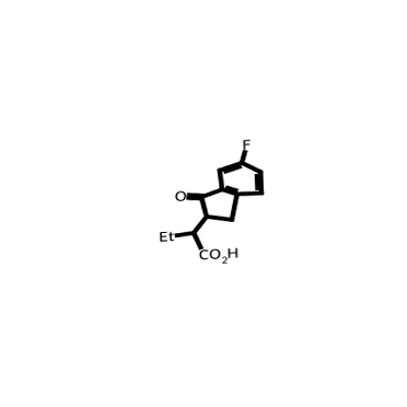 CCC(C(=O)O)C1Cc2ccc(F)cc2C1=O